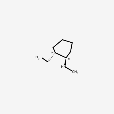 CC[C@@H]1CCCC[C@H]1NC